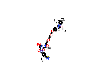 Cc1ncsc1-c1ccc(CNC(=O)[C@@H]2C[C@@H](O)CN2C(=O)[C@@H](NC(=O)CCCOCCCOCCOc2ccc(N3C(=S)N(c4ccc(C#N)c(C(F)(F)F)c4)C(=O)C3(C)C)cc2)C(C)(C)C)cc1